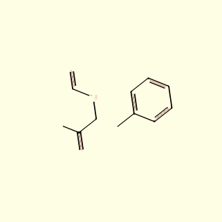 O=CN[C@H](Cc1ccccc1)C(=O)O